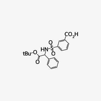 CC(C)(C)OC(=O)C(NS(=O)(=O)c1cccc(C(=O)O)c1)c1ccccc1